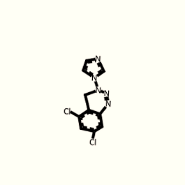 Clc1cc(Cl)c2c(c1)N=NN(n1ccnc1)C2